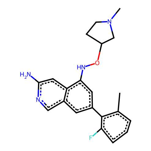 Cc1cccc(F)c1-c1cc(NOC2CCN(C)C2)c2cc(N)ncc2c1